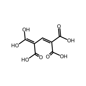 O=C(O)C(=CC(C(=O)O)=C(O)O)C(=O)O